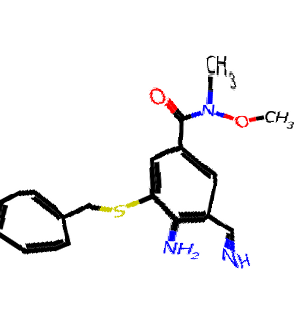 CON(C)C(=O)c1cc(C=N)c(N)c(SCc2ccccc2)c1